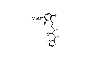 COc1ccc(F)c(CCNC(=S)Nc2ncc[nH]2)c1F